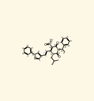 CC(C)Cn1c(/C=C/c2cnn(-c3ccccc3)c2)c([N+](=O)[O-])c(=O)n(C(C)c2ccccc2)c1=O